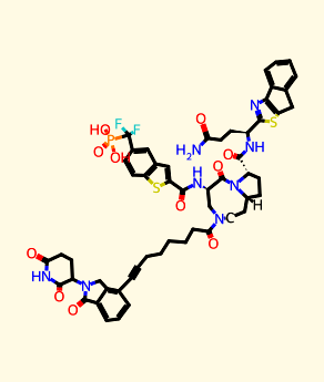 NC(=O)CC[C@H](NC(=O)[C@@H]1CC[C@@H]2CCN(C(=O)CCCCCC#Cc3cccc4c3CN(C3CCC(=O)NC3=O)C4=O)C[C@H](NC(=O)c3cc4cc(C(F)(F)P(=O)(O)O)ccc4s3)C(=O)N21)c1nc2c(s1)Cc1ccccc1-2